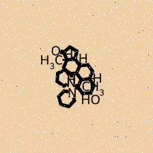 C[C@]12[C@@H](CC[C@@H]3[C@@H]1CC[C@]1(C)C(=O)CC[C@@H]31)C[C@H](O)CC2(N1CCCCC1)N1CCCCC1